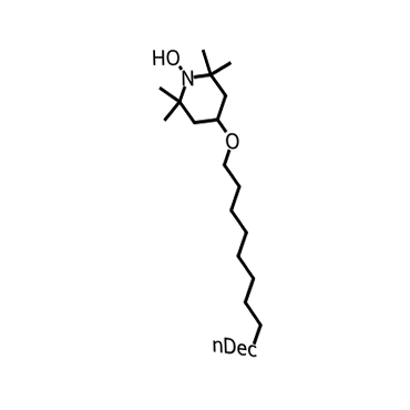 CCCCCCCCCCCCCCCCCCOC1CC(C)(C)N(O)C(C)(C)C1